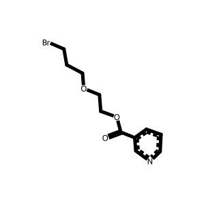 O=C(OCCOCCCBr)c1cccnc1